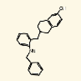 Oc1ccc2c(c1)CCC(Cc1ccccc1NCc1ccccc1)C2